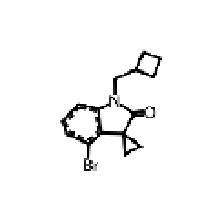 O=C1N(CC2CCC2)c2cccc(Br)c2C12CC2